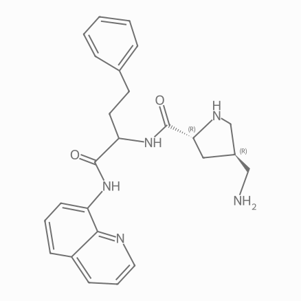 NC[C@@H]1CN[C@@H](C(=O)NC(CCc2ccccc2)C(=O)Nc2cccc3cccnc23)C1